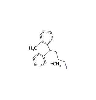 Cc1ccccc1C(CCCI)c1ccccc1C